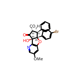 COc1cnc2c(c1)O[C@@]1(c3ccc(Br)cc3)[C@H](c3ccccc3)[C@@H](C(=O)O)C(=O)[C@@]21O